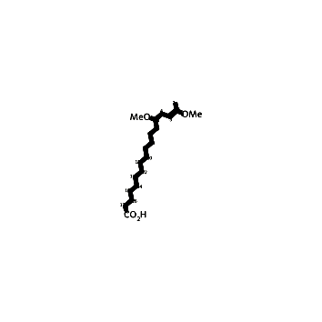 COC(C)=CCC(CCCCCCCCCCCCC(=O)O)OC